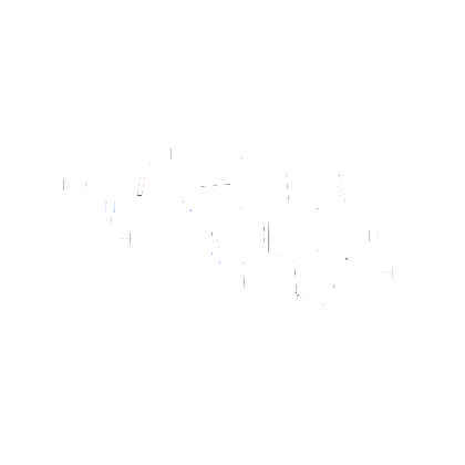 CC(=O)[C@@H](OC(C)(C)C)c1c(C)nc2c(c(C)c(C)n2CC(=O)N(C)C)c1-c1ccc(Cl)cc1